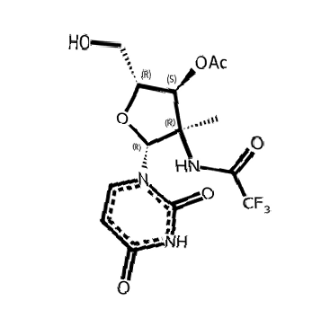 CC(=O)O[C@@H]1[C@@H](CO)O[C@@H](n2ccc(=O)[nH]c2=O)[C@]1(C)NC(=O)C(F)(F)F